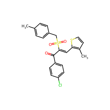 Cc1ccc(CS(=O)(=O)/C(=C\c2sccc2C)C(=O)c2ccc(Cl)cc2)cc1